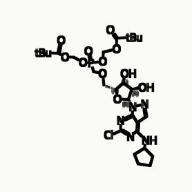 CC(C)(C)C(=O)OCOP(=O)(COC[C@H]1O[C@@H](n2ncc3c(NC4CCCC4)nc(Cl)nc32)[C@H](O)[C@@H]1O)OCOC(=O)C(C)(C)C